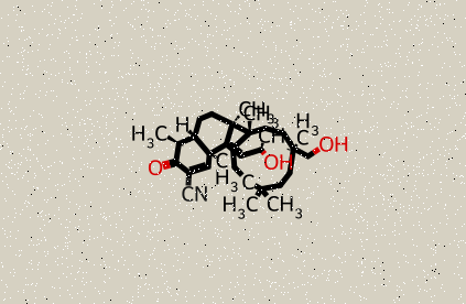 C[C@H](O)/C=C1/[C@@]2(C)C=C(C#N)C(=O)[C@@H](C)[C@@H]2CC[C@@]1(C)[C@@]1(C)CCCC(C)(C)CC[C@](C)(CO)CC1